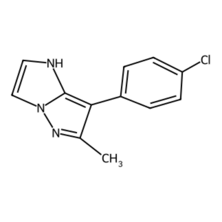 Cc1nn2cc[nH]c2c1-c1ccc(Cl)cc1